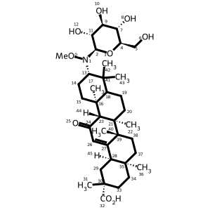 CON([C@@H]1O[C@H](CO)[C@@H](O)[C@H](O)[C@H]1O)[C@H]1CC[C@@]2(C)C(CC[C@]3(C)[C@@H]2C(=O)C=C2[C@@H]4C[C@@](C)(C(=O)O)CC[C@]4(C)CC[C@]23C)C1(C)C